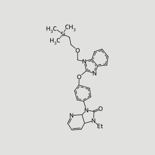 CCN1C(=O)N(c2ccc(Oc3nc4ccccc4n3COCC[Si](C)(C)C)cc2)C2N=CC=CC21